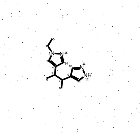 CCn1cc(C(C)C(C)c2cn[nH]c2)cn1